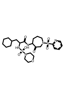 O=C1CN(S(=O)(=O)c2ccccn2)CCCC1NC(=O)C(CC1CCCCC1)NS(=O)(=O)N1CCOCC1